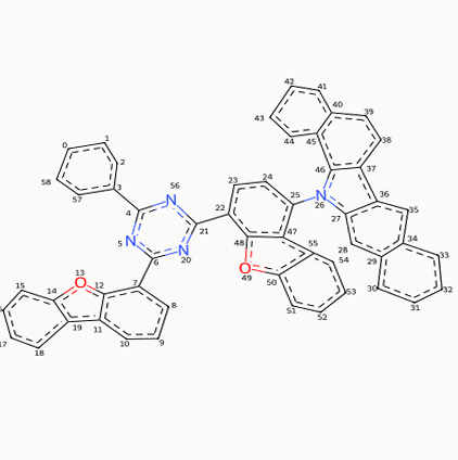 c1ccc(-c2nc(-c3cccc4c3oc3ccccc34)nc(-c3ccc(-n4c5cc6ccccc6cc5c5ccc6ccccc6c54)c4c3oc3ccccc34)n2)cc1